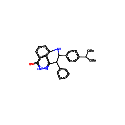 COC(OC)c1ccc(C2Nc3cccc4c(=O)[nH]nc(c34)C2c2ccccc2)cc1